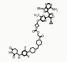 Cc1nc(-c2c(-c3nn(C(C)(C)C)c4ncnc(N)c34)noc2C2CC2)ncc1OC1CN(C(=O)OCC(=O)N2CCC(CN3CCN(c4c(F)cc(NC5CCC(=O)NC5=O)cc4F)CC3)CC2)C1